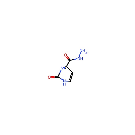 NNC(=O)c1cc[nH]c(=O)n1